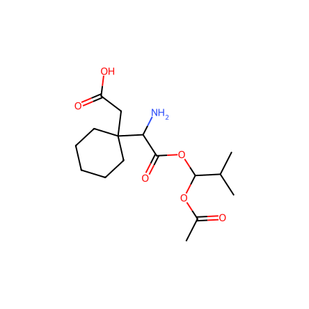 CC(=O)OC(OC(=O)C(N)C1(CC(=O)O)CCCCC1)C(C)C